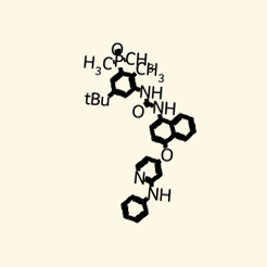 Cc1c(NC(=O)Nc2ccc(Oc3ccnc(Nc4ccccc4)c3)c3ccccc23)cc(C(C)(C)C)cc1P(C)(C)=O